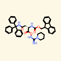 N=C(NOC(=O)[C@H](CC(=O)NC(c1ccccc1)(c1ccccc1)c1ccccc1)NC(=O)OCC1c2ccccc2-c2ccccc21)N1CCCCC1